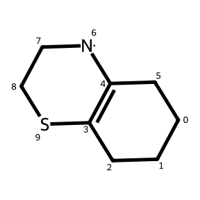 C1CCC2=C(C1)[N]CCS2